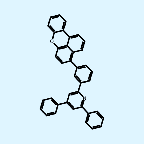 c1ccc(-c2cc(-c3ccccc3)nc(-c3cccc(-c4ccc5c6c(cccc46)-c4ccccc4O5)c3)c2)cc1